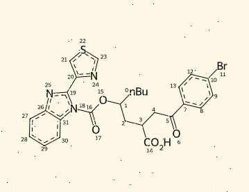 CCCCC(CC(CC(=O)c1ccc(Br)cc1)C(=O)O)OC(=O)n1c(-c2cscn2)nc2ccccc21